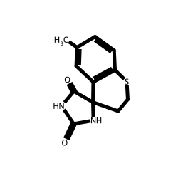 Cc1ccc2c(c1)C1(CCS2)NC(=O)NC1=O